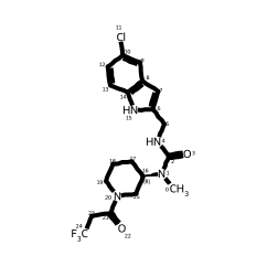 CN(C(=O)NCc1cc2cc(Cl)ccc2[nH]1)[C@@H]1CCCN(C(=O)CC(F)(F)F)C1